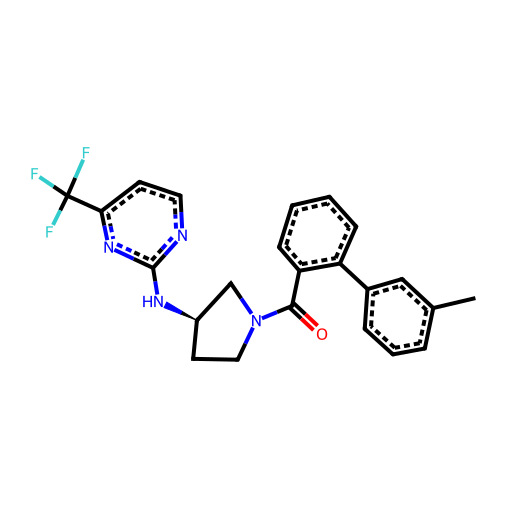 Cc1cccc(-c2ccccc2C(=O)N2CC[C@@H](Nc3nccc(C(F)(F)F)n3)C2)c1